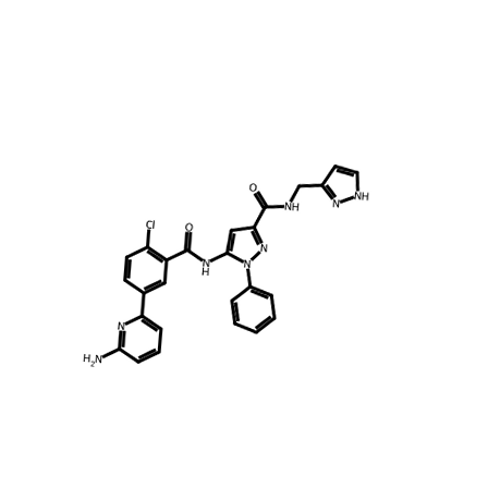 Nc1cccc(-c2ccc(Cl)c(C(=O)Nc3cc(C(=O)NCc4cc[nH]n4)nn3-c3ccccc3)c2)n1